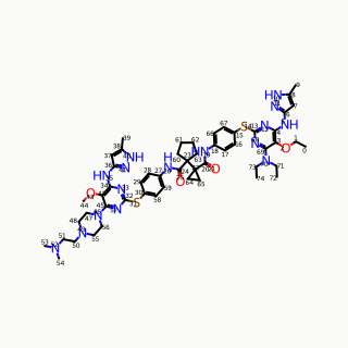 CCOc1c(Nc2cc(C)[nH]n2)nc(Sc2ccc(NC(=O)C3(C4(C(=O)Nc5ccc(Sc6nc(Nc7cc(C)[nH]n7)c(OC)c(N7CCN(CCN(C)C)CC7)n6)cc5)CCCC4)CC3)cc2)nc1N(CC)CC